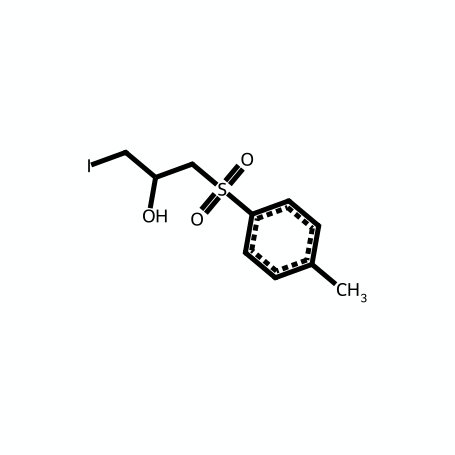 Cc1ccc(S(=O)(=O)CC(O)CI)cc1